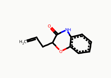 C=CCC1Oc2ccccc2NC1=O